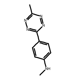 CNc1ccc(-c2nnc(C)nn2)cc1